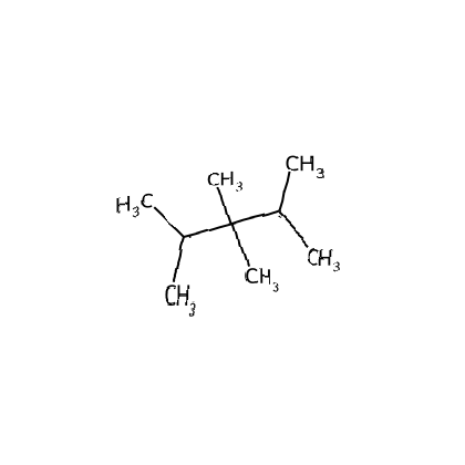 C[C](C)C(C)(C)[C](C)C